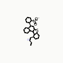 C=C/C=C\c1cccc2sc3cc(-c4ccccc4[N+](=O)[O-])c4ccccc4c3c12